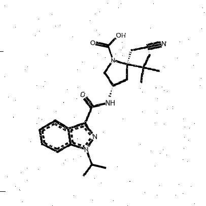 CC(C)n1nc(C(=O)N[C@@H]2CN(C(=O)O)[C@@](CC#N)(C(C)(C)C)C2)c2ccccc21